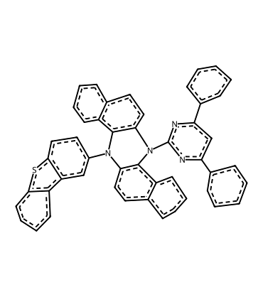 c1ccc(-c2cc(-c3ccccc3)nc(N3c4ccc5ccccc5c4N(c4ccc5sc6ccccc6c5c4)c4ccc5ccccc5c43)n2)cc1